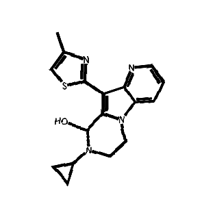 Cc1csc(-c2c3n(c4cccnc24)CCN(C2CC2)C3O)n1